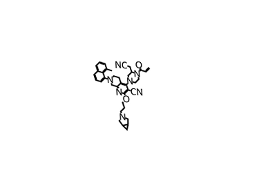 C=CC(=O)N1CCN(c2c(C#N)c(OCCCN3CC4CC4C3)nc3c2CCN(c2cccc4cccc(C)c24)C3)CC1CC#N